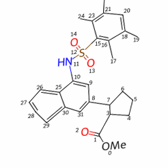 COC(=O)C1CCCC1c1cc(NS(=O)(=O)c2c(C)c(C)cc(C)c2C)c2ccccc2c1